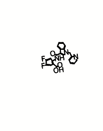 O=C(O)c1cc(F)c(F)cc1NC(=O)c1cn(Cc2ccccn2)c2ccccc12